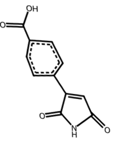 O=C1C=C(c2ccc(C(=O)O)cc2)C(=O)N1